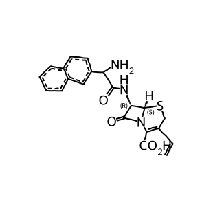 C=CC1=C(C(=O)O)N2C(=O)[C@@H](NC(=O)C(N)c3ccc4ccccc4c3)[C@@H]2SC1